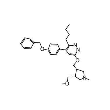 CCCCc1nnc(OC[C@H]2CN(C)C[C@@H]2COC)cc1-c1ccc(OCc2ccccc2)cc1